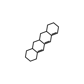 C1=C2C=C3C=C4CCCCC4CC3CC2CCC1